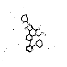 O=C1C2=CN(C3CCCCO3)NC2c2ccc(-c3cccnc3N3CCCCC3)cc2N1CC(F)(F)F